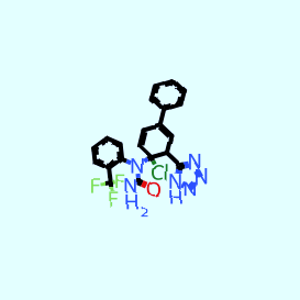 NC(=O)N(c1ccccc1C(F)(F)F)C1(Cl)C=CC(c2ccccc2)=CC1c1nnn[nH]1